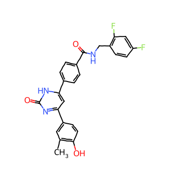 Cc1cc(-c2cc(-c3ccc(C(=O)NCc4ccc(F)cc4F)cc3)[nH]c(=O)n2)ccc1O